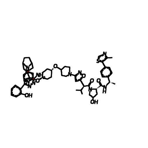 Cc1ncsc1-c1ccc([C@H](C)NC(=O)[C@@H]2C[C@@H](O)CN2C(=O)[C@H](c2cc(N3CCC(O[C@H]4CC[C@H](Oc5cc(N6C7CCC6CN(c6cc(-c8ccccc8O)nnc6N)C7)ccn5)CC4)CC3)no2)C(C)C)cc1